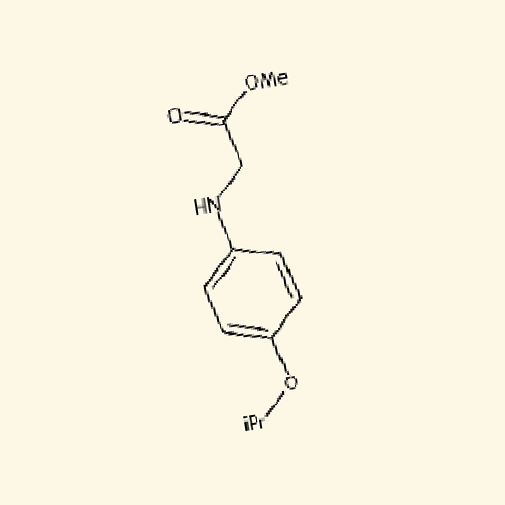 COC(=O)CNc1ccc(OC(C)C)cc1